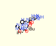 CCCC(N)(C(=O)NCc1nn[nH]n1)C(=O)[C@H](CC1CCCCC1)NC(=O)[C@@H](NC(=O)[C@H](CC(C)C)NC(=O)c1cnccn1)C(C)CC